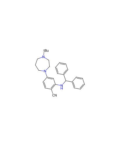 CC(C)(C)N1CCCN(c2ccc(C#N)c(NC(c3ccccc3)c3ccccc3)c2)CC1